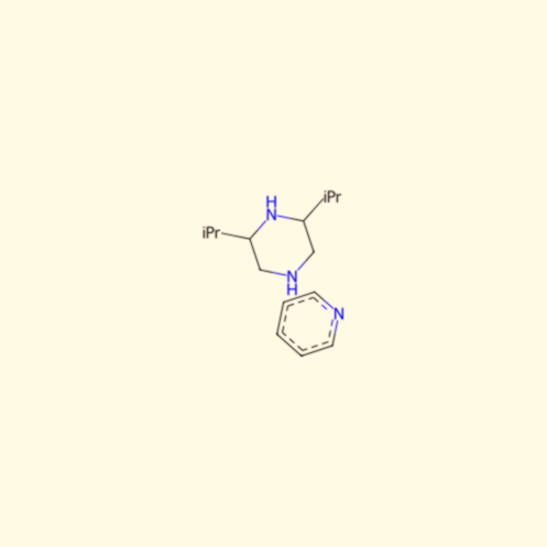 CC(C)C1CNCC(C(C)C)N1.c1ccncc1